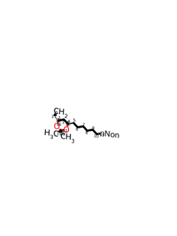 C=C[C@@H]1C[C@@H](CCCCCCCCCCCCCCC)OC(C)(C)O1